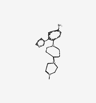 CN1CCN(C2CCN(c3ccc(N)cc3-c3cccnc3)CC2)CC1